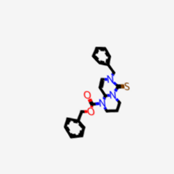 O=C(OCc1ccccc1)N1CCCN2C(=S)N(Cc3ccccc3)C=CC12